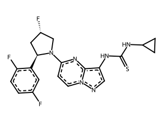 Fc1ccc(F)c([C@H]2C[C@H](F)CN2c2ccn3ncc(NC(=S)NC4CC4)c3n2)c1